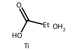 CCC(=O)O.O.[Ti]